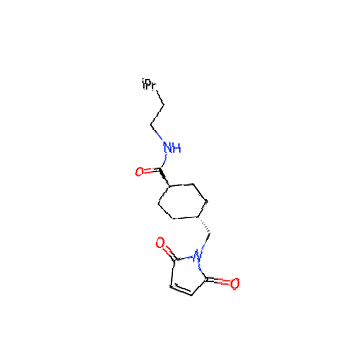 CC(C)CCNC(=O)[C@H]1CC[C@H](CN2C(=O)C=CC2=O)CC1